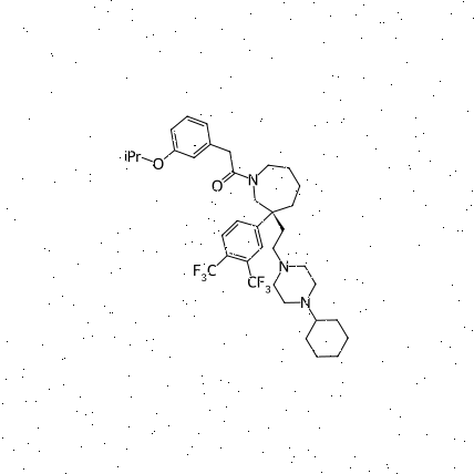 CC(C)Oc1cccc(CC(=O)N2CCCC[C@](CCN3CCN(C4CCCCC4)CC3)(c3ccc(C(F)(F)F)c(C(F)(F)F)c3)C2)c1